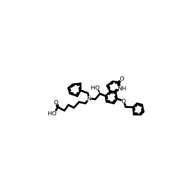 O=C(O)CCCCCN(Cc1ccccc1)C[C@@H](O)c1ccc(OCc2ccccc2)c2[nH]c(=O)ccc12